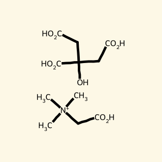 C[N+](C)(C)CC(=O)O.O=C(O)CC(O)(CC(=O)O)C(=O)O